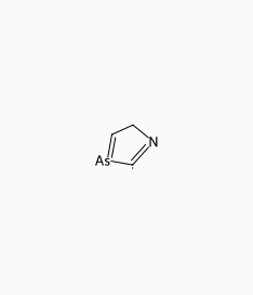 [C]1=NCC=[As]1